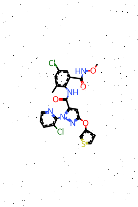 CONC(=O)c1cc(Cl)cc(C)c1NC(=O)c1cc(Oc2ccsc2)nn1-c1ncccc1Cl